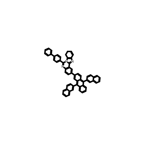 C1=Cc2nc3c4cc(-c5ccc6c(-c7ccc8ccccc8c7)c7ccccc7c(-c7ccc8ccccc8c7)c6c5)ccc4nc(-c4ccc(-c5ccccc5)cc4)n3c2CC1